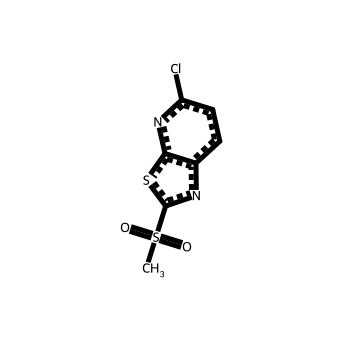 CS(=O)(=O)c1nc2ccc(Cl)nc2s1